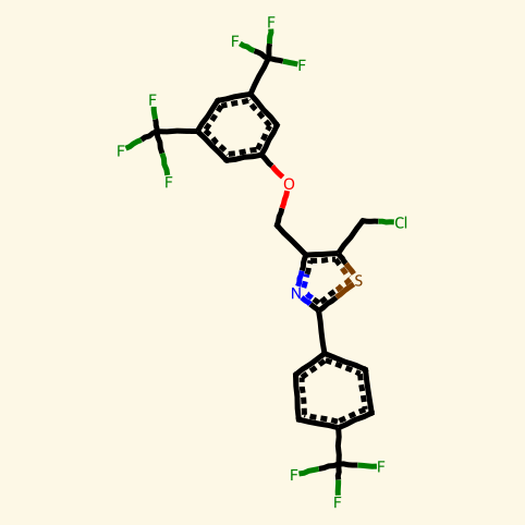 FC(F)(F)c1ccc(-c2nc(COc3cc(C(F)(F)F)cc(C(F)(F)F)c3)c(CCl)s2)cc1